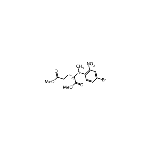 COC(=O)CC[C@@H](C(=O)OC)N(C)c1ccc(Br)cc1[N+](=O)[O-]